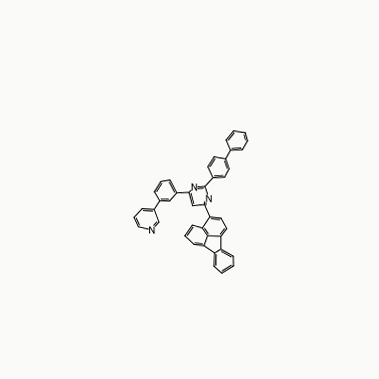 c1ccc(-c2ccc(-c3nc(-c4cccc(-c5cccnc5)c4)cc(-c4ccc5c6c(cccc46)-c4ccccc4-5)n3)cc2)cc1